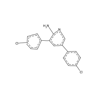 Nc1ncc(-c2ccc(Cl)cc2)cc1-c1ccc(Cl)cc1